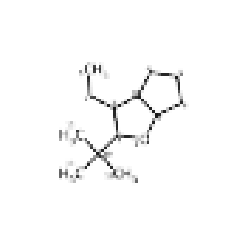 CCC1C2CCCC2OC1C(C)(C)C